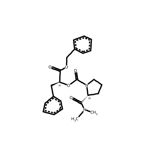 CN(C)C(=O)[C@H]1CCCN1C(=O)O[C@@H](Cc1ccccc1)C(=O)OCc1ccccc1